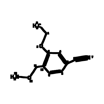 CCOc1cc(C#N)ccc1CON